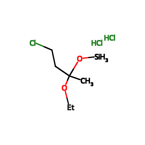 CCOC(C)(CCCl)O[SiH3].Cl.Cl